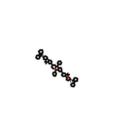 CC1(C)c2cc(-c3ccc4c(-c5ccccc5)c5cc(-c6ccc7c(c6)C(C)(C)c6cc(-n8c9ccccc9c9ccccc98)ccc6-7)ccc5c(-c5ccccc5)c4c3)ccc2-c2ccc(-n3c4ccccc4c4ccccc43)cc21